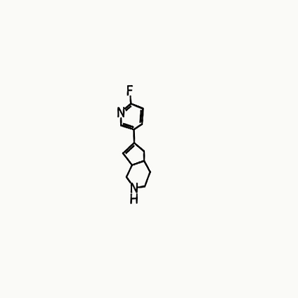 Fc1ccc(C2=CC3CNCCC3C2)cn1